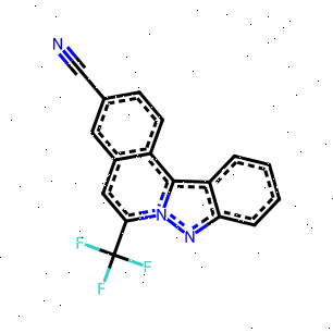 N#Cc1ccc2c(c1)cc(C(F)(F)F)n1nc3ccccc3c21